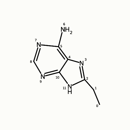 CCc1nc2c(N)ncnc2[nH]1